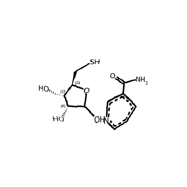 NC(=O)c1cccnc1.OC1O[C@H](CS)[C@@H](O)[C@H]1O